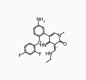 CCN/C=C1\C(=N)C(c2cc(N)ccc2Oc2ccc(F)cc2F)=CN(C)C1=O